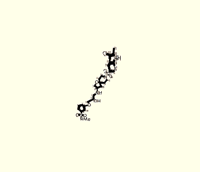 CNS(=O)(=O)c1cccc(OCC(O)CN[C@H]2COC3(CCN(S(=O)(=O)c4cnc5[nH]c(C)c(Cl)c5c4)CC3)C2)c1